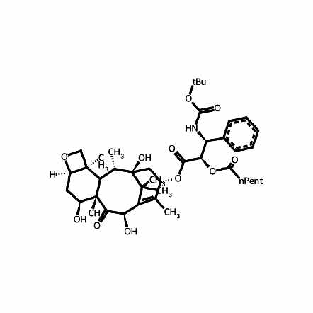 CCCCCC(=O)O[C@@H](C(=O)O[C@H]1C[C@@]2(O)[C@@H](C)C3[C@]4(C)CO[C@@H]4C[C@H](O)[C@@]3(C)C(=O)[C@H](O)C(=C1C)C2(C)C)[C@@H](NC(=O)OC(C)(C)C)c1ccccc1